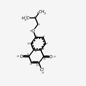 CC(C)COc1ccc2c(c1)C(=O)C=C(Cl)C2=O